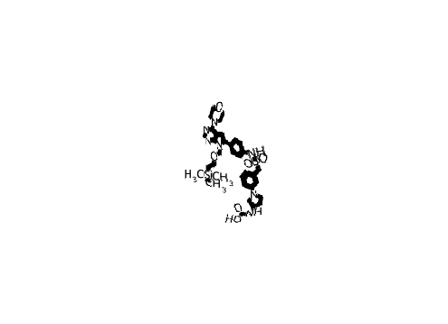 C[Si](C)(C)CCOCn1c(-c2ccc(NS(=O)(=O)Cc3cccc(N4CC[C@H](NC(=O)O)C4)c3)cc2)cc2c(N3CCOCC3)ncnc21